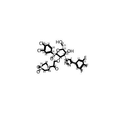 O=C(CO[C@@H]1[C@@H](n2cc(-c3cc(F)c(F)c(F)c3)nn2)[C@@H](O)[C@@H](CO)O[C@@H]1[S@+]([O-])c1ccc(Cl)c(Cl)c1)N1CCS(=O)(=O)CC1